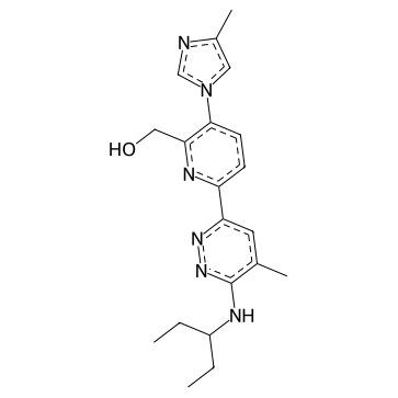 CCC(CC)Nc1nnc(-c2ccc(-n3cnc(C)c3)c(CO)n2)cc1C